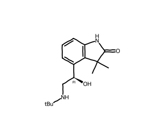 CC(C)(C)NC[C@H](O)c1cccc2c1C(C)(C)C(=O)N2